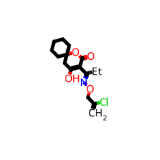 C=C(Cl)CO/N=C(\CC)C1=C(O)CC2(CCCCC2)OC1=O